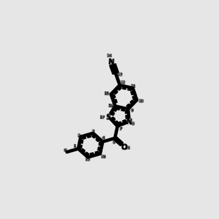 Cc1ccc(C(=O)c2nc3ccc(C#N)cc3s2)cc1